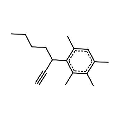 [C]#CC(CCCC)c1c(C)cc(C)c(C)c1C